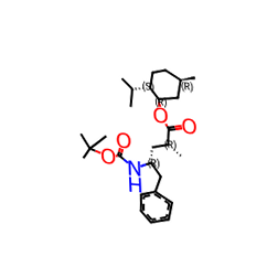 CC(C)[C@@H]1CC[C@@H](C)C[C@H]1OC(=O)[C@H](C)C[C@H](Cc1ccccc1)NC(=O)OC(C)(C)C